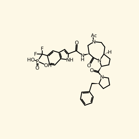 CC(=O)N1CC[C@H]2CC[C@@H](C(=O)N3CCC[C@H]3Cc3ccccc3)N2C(=O)[C@@H](NC(=O)c2cc3cc(C(F)(F)P(=O)(O)O)ccc3[nH]2)C1